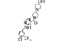 Cc1c(NCc2ccc(Cl)c(C(F)(F)F)c2)ncnc1C(=O)N1CCC(N2CCC(O)CC2)CC1